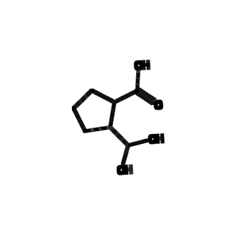 O=C(O)C1CCCC1C(O)O